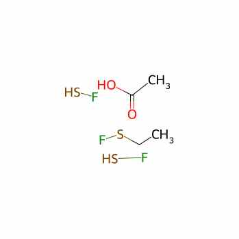 CC(=O)O.CCSF.FS.FS